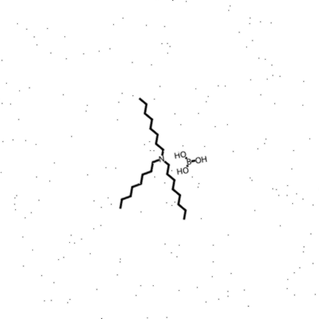 CCCCCCCCN(CCCCCCCC)CCCCCCCC.OB(O)O